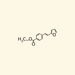 CCOC(=O)c1ccc(C=Cc2ccco2)cc1